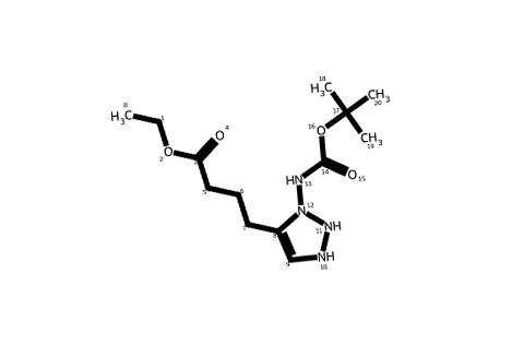 CCOC(=O)CCCC1=CNNN1NC(=O)OC(C)(C)C